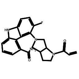 C=CC(=O)N1CCC2CN(c3c(F)ccc4[nH]c5cccc(C(N)=O)c5c34)CC21